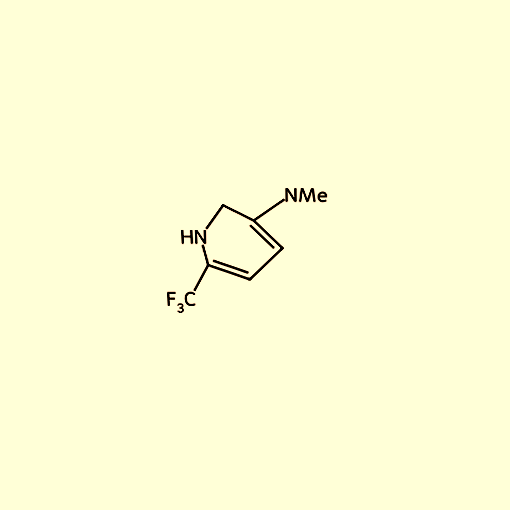 CNC1=CC=C(C(F)(F)F)NC1